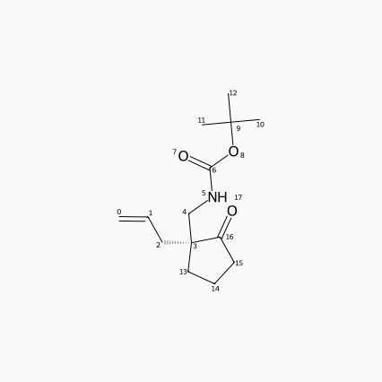 C=CC[C@@]1(CNC(=O)OC(C)(C)C)CCCC1=O